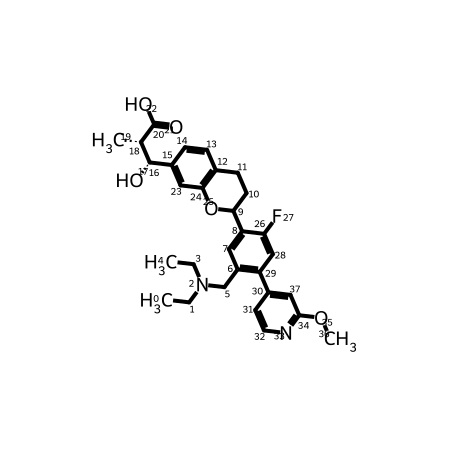 CCN(CC)Cc1cc(C2CCc3ccc([C@H](O)[C@H](C)C(=O)O)cc3O2)c(F)cc1-c1ccnc(OC)c1